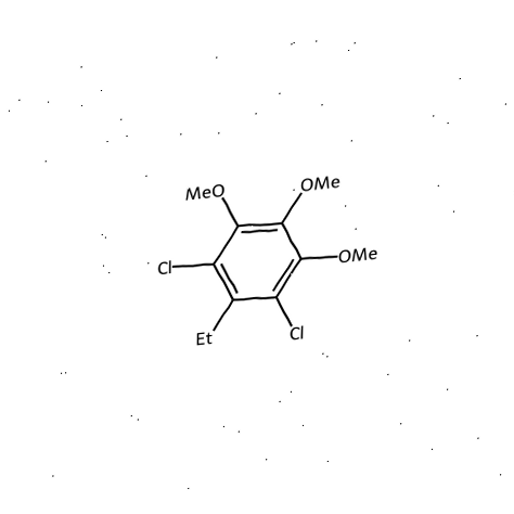 CCc1c(Cl)c(OC)c(OC)c(OC)c1Cl